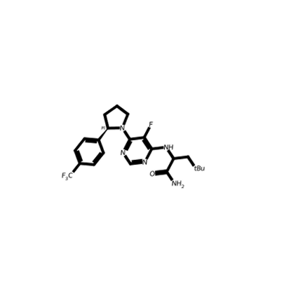 CC(C)(C)CC(Nc1ncnc(N2CCC[C@@H]2c2ccc(C(F)(F)F)cc2)c1F)C(N)=O